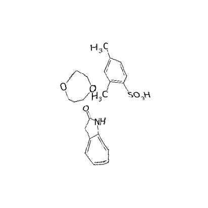 C1COCCO1.Cc1ccc(S(=O)(=O)O)c(C)c1.O=C1Cc2ccccc2N1